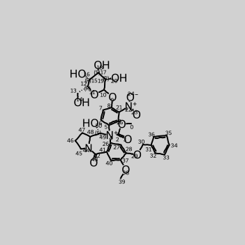 COC(=O)[N+]1(c2ccc(OC3O[C@H](CO)[C@H](O)[C@H](O)[C@H]3O)c([N+](=O)[O-])c2)c2cc(OCc3ccccc3)c(OC)cc2C(=O)N2CCCC2[C@@H]1O